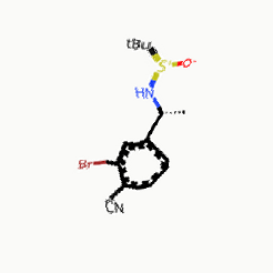 C[C@@H](N[S+]([O-])C(C)(C)C)c1ccc(C#N)c(Br)c1